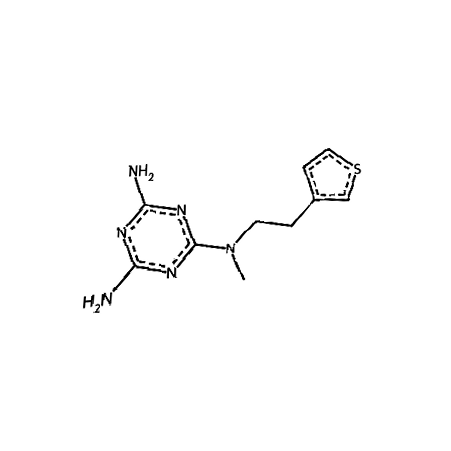 CN(CCc1ccsc1)c1nc(N)nc(N)n1